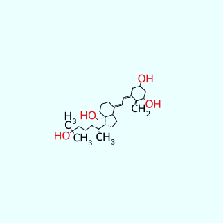 C=C1/C(=C\C=C2/CCC[C@@]3(CO)C2CC[C@@H]3[C@H](C)CCCC(C)(C)O)C[C@@H](O)CC1O